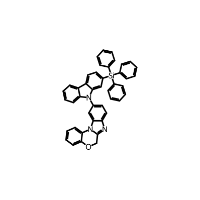 c1ccc([Si](c2ccccc2)(c2ccccc2)c2ccc3c4ccccc4n(-c4ccc5nc6n(c5c4)-c4ccccc4OC6)c3c2)cc1